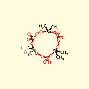 C[Si]1(C)OOS(=O)(=O)O[Si](C)(C)OOS(=O)(=O)O[Si](C)(C)OOS(=O)(=O)O1